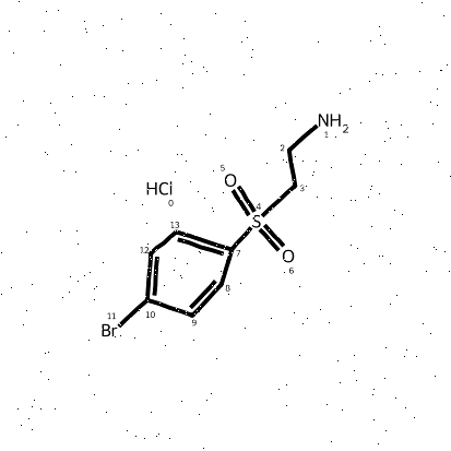 Cl.NCCS(=O)(=O)c1ccc(Br)cc1